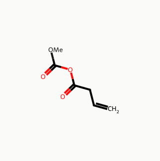 C=CCC(=O)OC(=O)OC